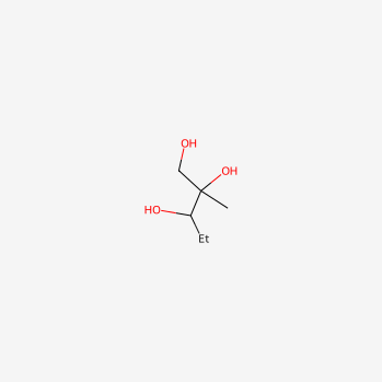 CCC(O)C(C)(O)CO